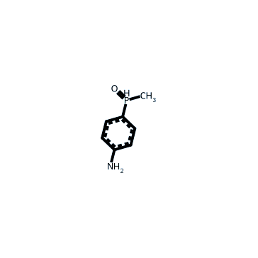 C[PH](=O)c1ccc(N)cc1